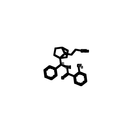 COCCN1C2CCC1([C@@H](NC(=O)c1ccccc1C(F)(F)F)c1ccccc1)CC2